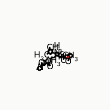 Cc1cc(C)cc(-c2[nH]c3sc(C(C)(C)CC4C5CCC4C(=O)N5)cc3c2CCN2CCN(CC(=O)N3CCCC3)C(=O)C2)c1